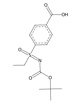 CCS(=O)(=NC(=O)OC(C)(C)C)c1ccc(C(=O)O)cc1